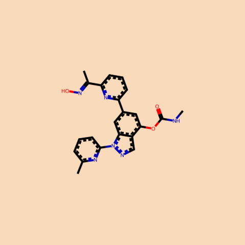 CNC(=O)Oc1cc(-c2cccc(C(C)=NO)n2)cc2c1cnn2-c1cccc(C)n1